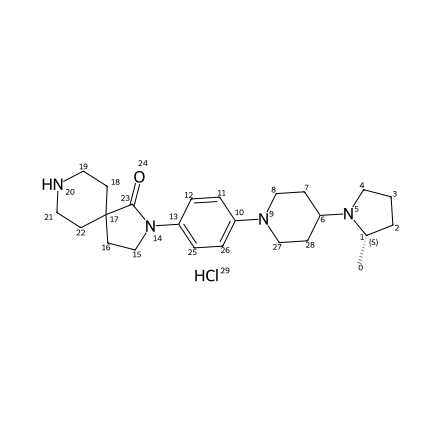 C[C@H]1CCCN1C1CCN(c2ccc(N3CCC4(CCNCC4)C3=O)cc2)CC1.Cl